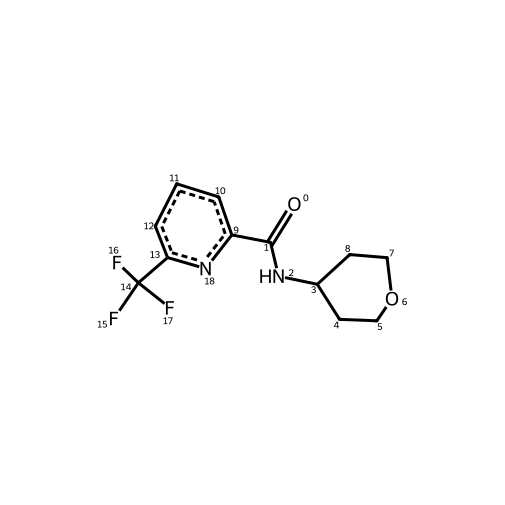 O=C(NC1CCOCC1)c1cccc(C(F)(F)F)n1